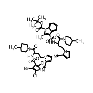 CC1CCN(C(=O)C(CCn2cccc2C#N)NS(=O)(=O)c2c(Cl)sc(Cl)c2Br)CC1.Cc1c(S(=O)(=O)NC(CCn2cccc2C#N)C(=O)N2CCC(C)CC2)c2ccccc2n1C(=O)OC(C)(C)C